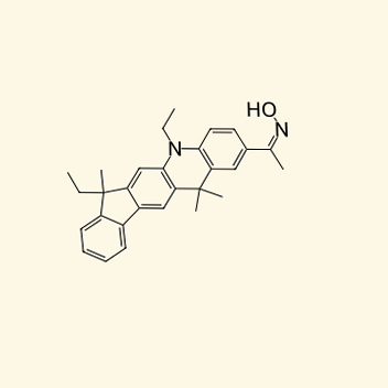 CCN1c2ccc(/C(C)=N\O)cc2C(C)(C)c2cc3c(cc21)C(C)(CC)c1ccccc1-3